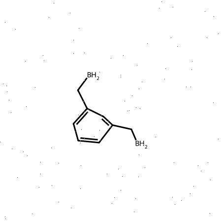 BCc1cccc(CB)c1